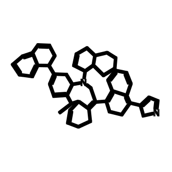 C/C1=C2/C=CCC/C2=C(\C2=c3ccccc3=C(C3=CC=NC3)CC2)CN(C2C=CCC3CCCCC32)C2CC(C3CC=Cc4ccccc43)=CC=C12